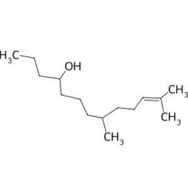 CCCC(O)CCCC(C)CCC=C(C)C